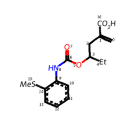 C=C(CC(CC)OC(=O)Nc1ccccc1SC)C(=O)O